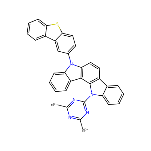 CCCc1nc(CCC)nc(-n2c3ccccc3c3ccc4c(c5ccccc5n4-c4ccc5sc6ccccc6c5c4)c32)n1